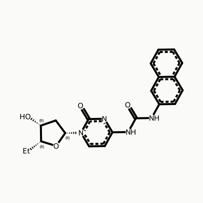 CC[C@H]1O[C@@H](n2ccc(NC(=O)Nc3ccc4ccccc4c3)nc2=O)C[C@H]1O